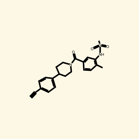 C#Cc1ccc(C2CCN(C(=O)c3ccc(C)c(NS(C)(=O)=O)c3)CC2)cc1